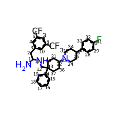 NC(Cc1cc(C(F)(F)F)cc(C(F)(F)F)c1)NCC1(c2ccccc2)CCC(N2CCC(c3ccc(F)cc3)CC2)CC1